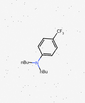 CCCCN(CCCC)c1ccc(C(F)(F)F)cc1